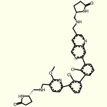 COc1nc(-c2cccc(-c3cccc(-c4cc5ncc(CNC[C@H]6CCC(=O)N6)cc5cn4)c3Cl)c2Cl)ccc1CNC[C@@H]1CCC(=O)N1